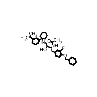 CC(=O)N[C@@H](Cc1ccc(OCc2ccccc2)c(F)c1)[C@H](O)CNC1(c2cccc(C(C)C)c2)CCCCC1